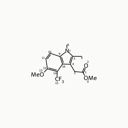 COC(=O)Cc1c(C)n(C)c2ccc(OC)c(C(F)(F)F)c12